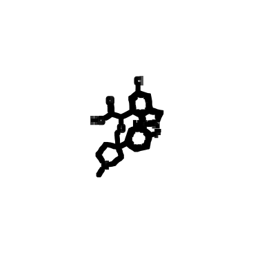 CN1CCC(COC(C(=O)O)c2cc(Cl)cc3cn[nH]c23)(c2ccc(F)cc2)CC1